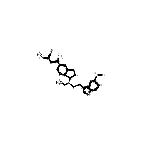 CCN(CCc1c[nH]c2ccc(OC)cc12)C1CCc2cc(/C(C)=C/C(=O)NO)ccc21